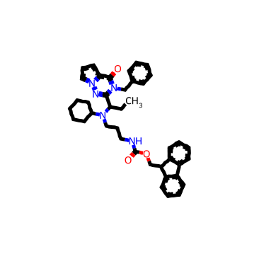 CCC(c1nn2cccc2c(=O)n1Cc1ccccc1)N(CCCNC(=O)OCC1c2ccccc2-c2ccccc21)C1CCCCC1